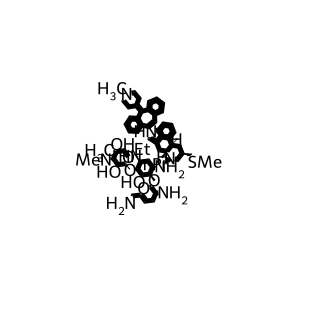 CCCN1C[C@H](CSC)C[C@@H]2c3cccc4[nH]cc(c34)C[C@H]21.CCN[C@@H]1C[C@H](N)[C@@H](OC2OC(CN)=CCC2N)[C@H](O)[C@H]1O[C@H]1OC[C@](C)(O)[C@H](NC)[C@H]1O.CN1CCC(=C2c3ccccc3C=Cc3ccccc32)CC1